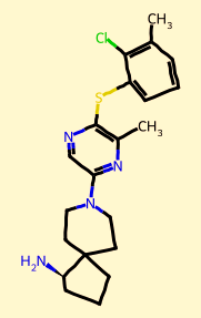 Cc1cccc(Sc2ncc(N3CCC4(CCC[C@H]4N)CC3)nc2C)c1Cl